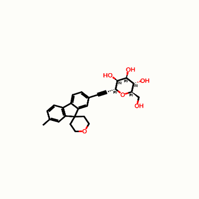 Cc1ccc2c(c1)C1(CCOCC1)c1cc(C#C[C@H]3O[C@H](CO)[C@@H](O)[C@H](O)[C@@H]3O)ccc1-2